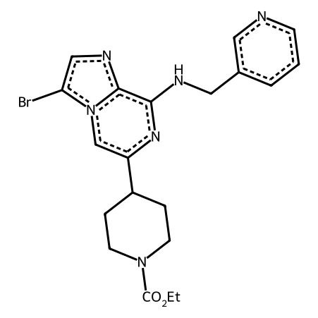 CCOC(=O)N1CCC(c2cn3c(Br)cnc3c(NCc3cccnc3)n2)CC1